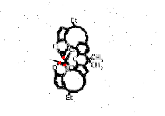 CCC1CCCc2cc(c3c(c2)C(C)(C)c2cc4cc(c2O3)P2c3cc(C)ccc3Oc3ccc(cc32)C(CC)CCC4)P2c3cc(C)ccc3Oc3ccc1cc32